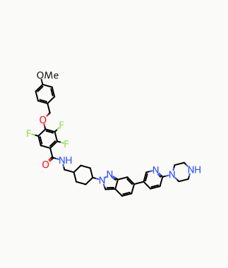 COc1ccc(COc2c(F)cc(C(=O)NCC3CCC(n4cc5ccc(-c6ccc(N7CCNCC7)nc6)cc5n4)CC3)c(F)c2F)cc1